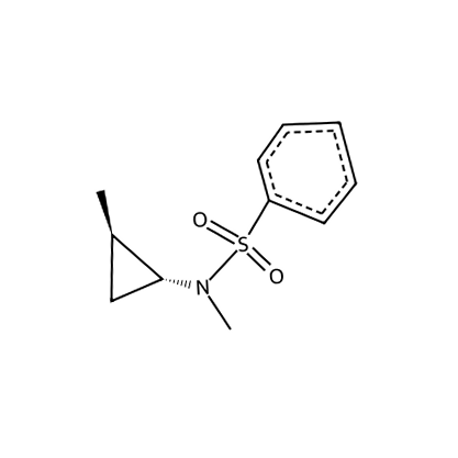 C[C@@H]1C[C@H]1N(C)S(=O)(=O)c1ccccc1